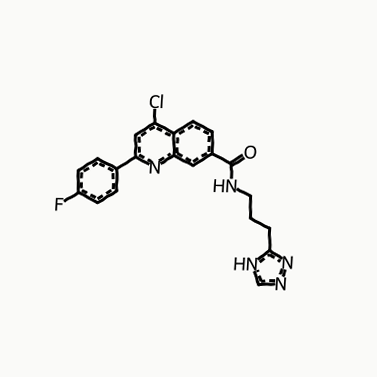 O=C(NCCCc1nnc[nH]1)c1ccc2c(Cl)cc(-c3ccc(F)cc3)nc2c1